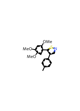 COc1cc(OC)c(-c2sncc2-c2ccc(C)cc2)cc1OC